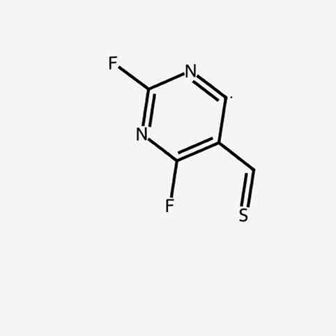 Fc1n[c]c(C=S)c(F)n1